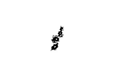 c1ccc(Cn2ncc3cc(Nc4ncnc5cc(-c6ccco6)ccc45)ccc32)cc1